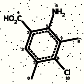 Cc1cc(C(=O)O)c(N)c(C)c1Cl